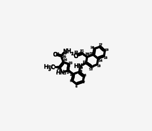 Cc1[nH]c(-c2ccccc2NC2=CCc3ccccc3C2C=O)cc1C(N)=O